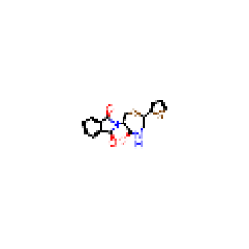 O=C1NCC(c2cccs2)SCC1N1C(=O)c2ccccc2C1=O